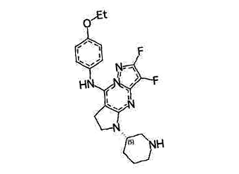 CCOc1ccc(Nc2c3c(nc4c(F)c(F)nn24)N([C@H]2CCCNC2)CC3)cc1